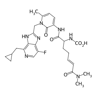 Cc1ccc(NC(=O)C(CC/C=C/C(=O)N(C)C)NC(=O)O)c(=O)n1Cc1nc2c(F)cnc(CC3CC3)c2[nH]1